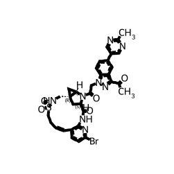 CC(=O)c1nn(CC(=O)N2[C@H]3C[C@@]4(CNS(=O)(=O)CCC=Cc5ccc(Br)nc5NC3=O)C[C@@H]24)c2ccc(-c3cnc(C)nc3)cc12